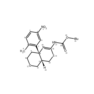 Cc1ccc([N+](=O)[O-])cc1[C@]12CCOC[C@H]1CSC(NC(=O)OC(C)(C)C)=N2